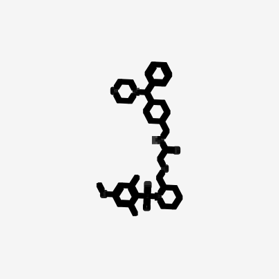 COc1cc(C)c(S(=O)(=O)N2CCCCC2COCC(=O)NCC2CCC(C(c3ccccc3)N3CCOCC3)CC2)c(C)c1